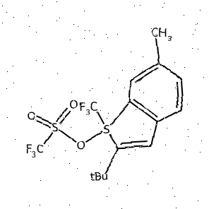 Cc1ccc2c(c1)S(OS(=O)(=O)C(F)(F)F)(C(F)(F)F)C(C(C)(C)C)=C2